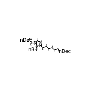 CCCCCCCCCCCCCCCCN1C=CN(CCCCCCCCCCC)C1CCCC